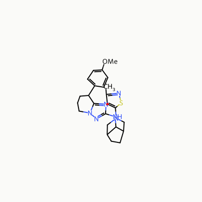 COc1ccc(C2CCCn3nc(NC4C5CCC4CN(c4cc(C)ns4)C5)nc32)cc1